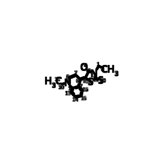 CCN1C(=O)C(=C2C=CN(CC)c3ccccc32)SC1=S